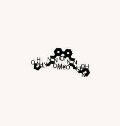 COc1nc(-c2cccc(-c3cccc(-c4cnc(CNC[C@@H]5CCC(=O)N5)c(OC)n4)c3Cl)c2Cl)cnc1CNCc1ncccc1O